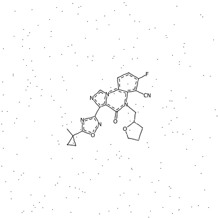 CC1(c2nc(-c3ncn4c3c(=O)n(CC3CCCO3)c3c(C#N)c(F)ccc34)no2)CC1